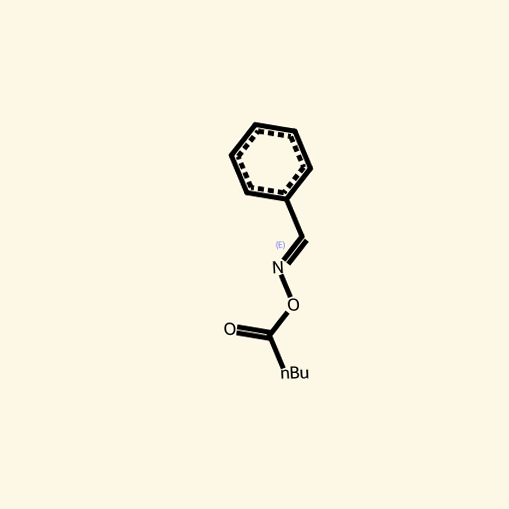 CCCCC(=O)O/N=C/c1ccccc1